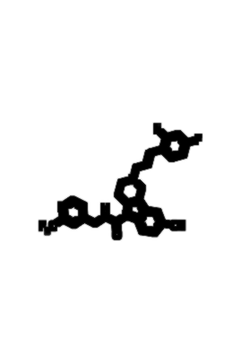 N#Cc1ccc2c(c1)c1c(n2C(=O)NCc2ccnc(C(F)(F)F)c2)CCN(C/C=C/c2ccc(F)cc2F)C1